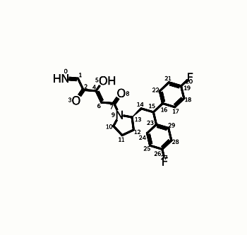 N=CC(=O)/C(O)=C/C(=O)N1CCC[C@@H]1CC(c1ccc(F)cc1)c1ccc(F)cc1